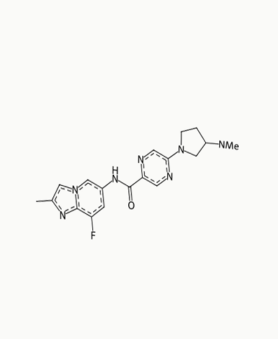 CNC1CCN(c2cnc(C(=O)Nc3cc(F)c4nc(C)cn4c3)cn2)C1